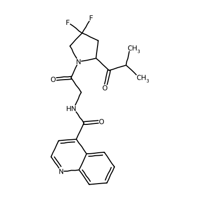 CC(C)C(=O)C1CC(F)(F)CN1C(=O)CNC(=O)c1ccnc2ccccc12